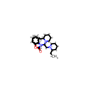 CCC1CCCCN1CC(N1CCCCC1CC)n1c(=O)oc2ccccc21